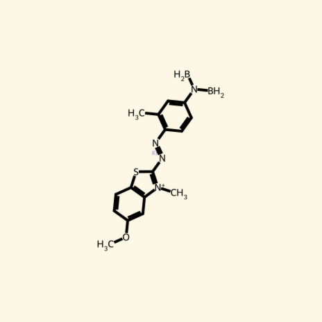 BN(B)c1ccc(/N=N/c2sc3ccc(OC)cc3[n+]2C)c(C)c1